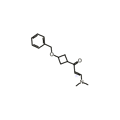 CN(C)/C=C/C(=O)C1CC(OCc2ccccc2)C1